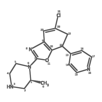 C[C@H]1CNCCN1c1nc2c(o1)C(c1ccncc1)CC(Cl)=C2